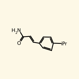 CC(C)c1ccc(/C=C/C(N)=O)cc1